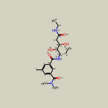 CCCN(CCC)C(=O)c1cc(C)cc(C(=O)N[C@@H](CC(C)C)[C@@H](O)[C@H](O)CC(=O)NCC(C)C)c1